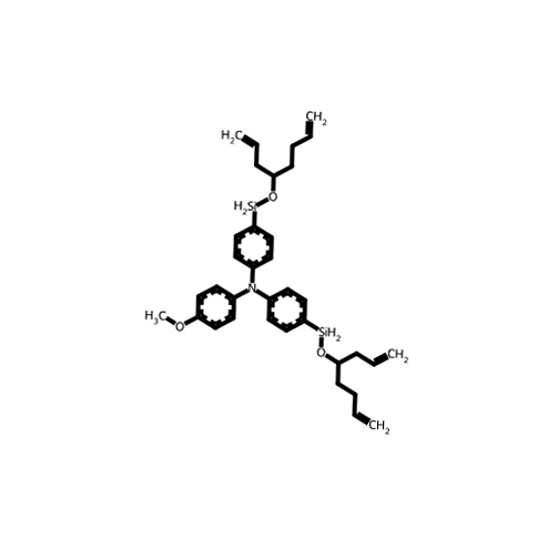 C=CCCC(CC=C)O[SiH2]c1ccc(N(c2ccc(OC)cc2)c2ccc([SiH2]OC(CC=C)CCC=C)cc2)cc1